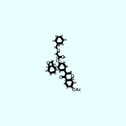 CC(=O)Oc1ccc2c(=O)c(-c3ccc(OC(=O)COCc4ccccc4)cc3)coc2c1.c1ccc2c(c1)CO2